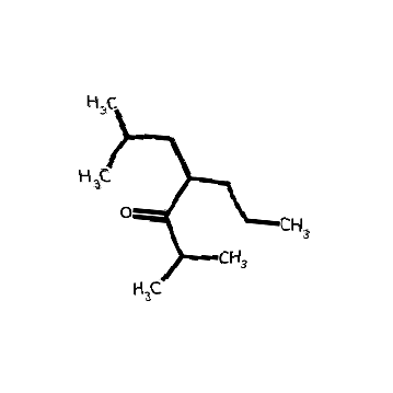 CCCC(CC(C)C)C(=O)C(C)C